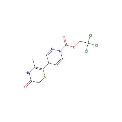 CC1=C(C2C=CN(C(=O)OCC(Cl)(Cl)Cl)N=C2)SCC(=O)N1